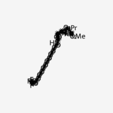 CCCN(CCc1ccc(OC)cc1)C(=O)C1=Cc2ccc(-c3cccc(S(=O)(=O)N4CC(CNC(=O)CCOCCOCCOCCOCCOCCOCCOCCOCCOCCOCCC(=O)Oc5c(F)c(F)cc(F)c5F)C4)c3)cc2N=C(N)C1